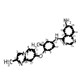 Cc1cn2ccc(Oc3ccc(Nc4ncnc5ccc(N)cc45)cc3C)cc2n1